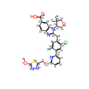 COc1nnc(COc2cccc(-c3cc(Cl)c(Cc4nc5ccc(C(=O)O)cc5n4[C@@H]4COCC4(C)C)cc3F)n2)s1